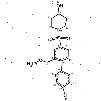 COCc1cc(S(=O)(=O)N2CCC(O)CC2)ccc1-c1ccc(Cl)cc1